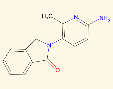 Cc1nc(N)ccc1N1Cc2ccccc2C1=O